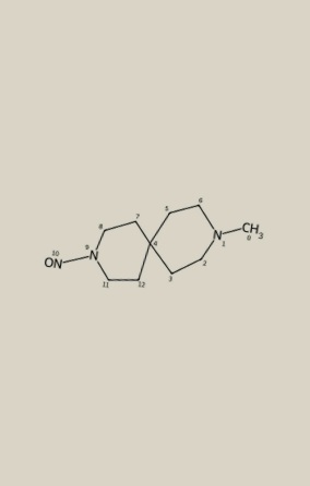 CN1CCC2(CC1)CCN(N=O)CC2